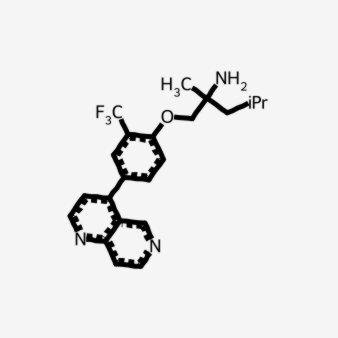 CC(C)CC(C)(N)COc1ccc(-c2ccnc3ccncc23)cc1C(F)(F)F